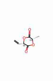 C=C[C@@H]1OC(=O)[C@H](C)OC1=O